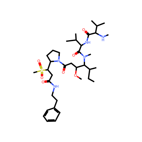 CCC(C)C(C(CC(=O)N1CCCC1C(CC(=O)NCCc1ccccc1)S(C)(=O)=O)OC)N(C)C(=O)C(NC(=O)C(NC)C(C)C)C(C)C